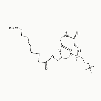 CCCCCCCCCCCCCCCCCCC(=O)OCC(COP(=O)(O)OCC[N+](C)(C)C)OC(=O)CN(C)C(=N)N